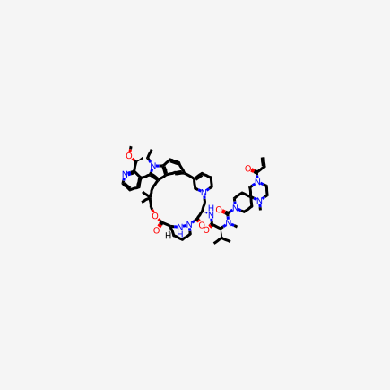 C=CC(=O)N1CCN(C)C2(CCN(C(=O)N(C)[C@H](C(=O)N[C@H]3CN4CCC=C(C4)c4ccc5c(c4)c(c(-c4cccnc4[C@H](C)OC)n5CC)CC(C)(C)COC(=O)[C@@H]4CCCN(N4)C3=O)C(C)C)CC2)C1